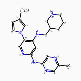 [C-]#[N+]c1cnc(Nc2cc(NCC3CCCNC3)c(-n3ccc(C(=O)O)c3)cn2)cn1